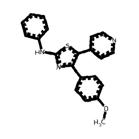 COc1ccc(-c2nc(Nc3ccccc3)sc2-c2ccncc2)cc1